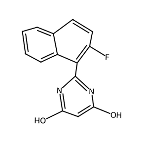 Oc1cc(O)nc(-c2c(F)ccc3ccccc23)n1